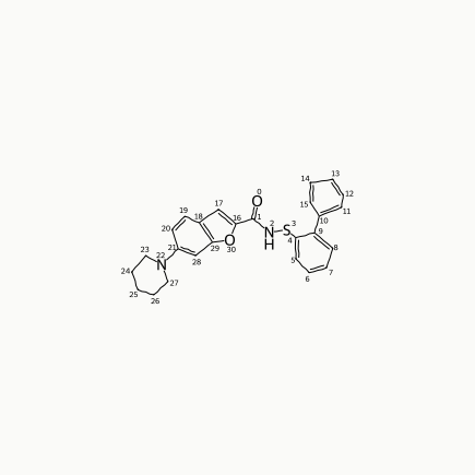 O=C(NSc1ccccc1-c1ccccc1)c1cc2ccc(N3CCCCC3)cc2o1